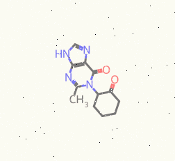 Cc1nc2[nH]cnc2c(=O)n1C1CCCCC1=O